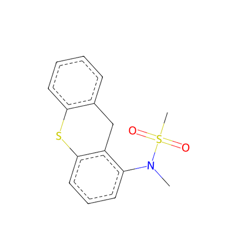 CN(c1cccc2c1Cc1ccccc1S2)S(C)(=O)=O